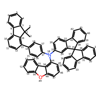 CC1(C)c2ccccc2-c2cccc(-c3ccc(N(c4ccc5c(c4)C4(c6ccccc6-c6ccccc64)c4ccccc4-5)c4cccc5oc6ccccc6c45)cc3)c21